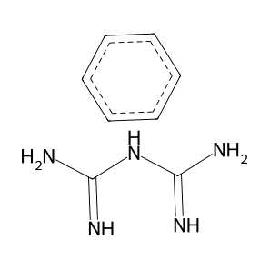 N=C(N)NC(=N)N.c1ccccc1